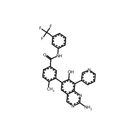 Cc1ccc(C(=O)Nc2cccc(C(F)(F)F)c2)cc1-c1cc2cnc(N)nc2c(-c2cccnc2)c1O